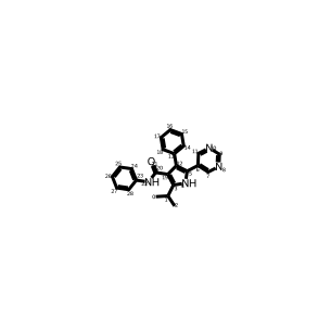 CC(C)c1[nH]c(-c2cncnc2)c(-c2ccccc2)c1C(=O)Nc1ccccc1